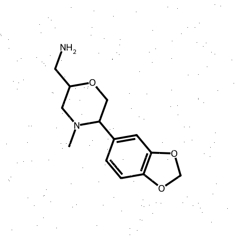 CN1CC(CN)OCC1c1ccc2c(c1)OCO2